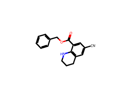 N#Cc1cc2c(c(C(=O)OCc3ccccc3)c1)NCCC2